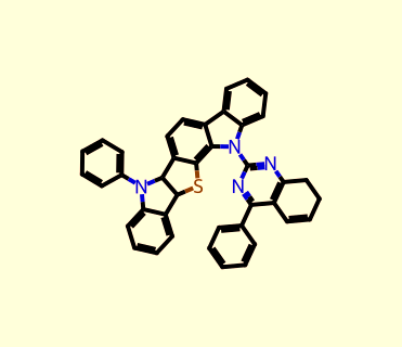 C1=Cc2c(nc(-n3c4ccccc4c4ccc5c(c43)SC3c4ccccc4N(c4ccccc4)C53)nc2-c2ccccc2)CC1